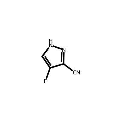 N#Cc1n[nH]cc1F